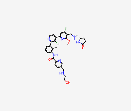 COc1nc(-c2ccnc(-c3cccc(NC(=O)c4ccc(CNCCO)cn4)c3C)c2Cl)cc(F)c1CNC[C@@H]1CCC(=O)N1